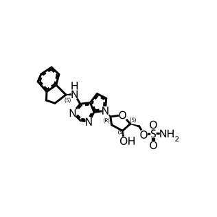 NS(=O)(=O)OC[C@@H]1O[C@@H](n2ccc3c(N[C@H]4CCc5ccccc54)ncnc32)C[C@@H]1O